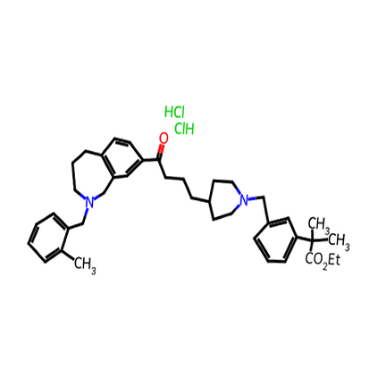 CCOC(=O)C(C)(C)c1cccc(CN2CCC(CCCC(=O)c3ccc4c(c3)CN(Cc3ccccc3C)CCC4)CC2)c1.Cl.Cl